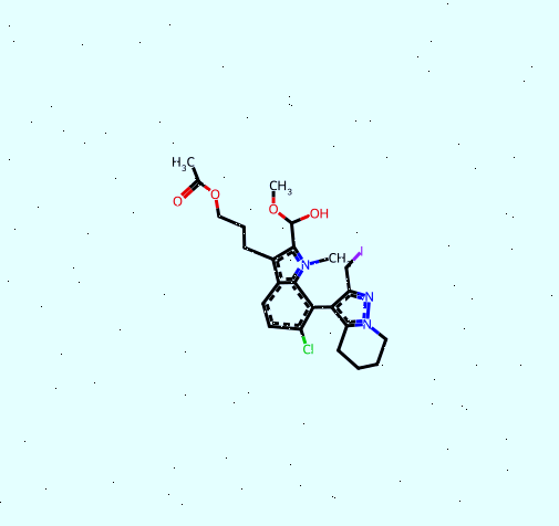 COC(O)c1c(CCCOC(C)=O)c2ccc(Cl)c(-c3c(CI)nn4c3CCCC4)c2n1C